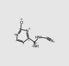 N#CNC(=N)c1ccnc(Cl)n1